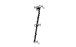 CCCCCCCCCCCCCCCCCC(=O)NCCCCCCCCCCCCCCCCC(CC)C(=O)O